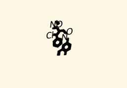 C=Cc1cc(CN2C(=O)CC(c3cnco3)=C(Cl)c3ccccc32)ccc1C